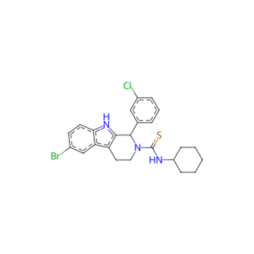 S=C(NC1CCCCC1)N1CCc2c([nH]c3ccc(Br)cc23)C1c1cccc(Cl)c1